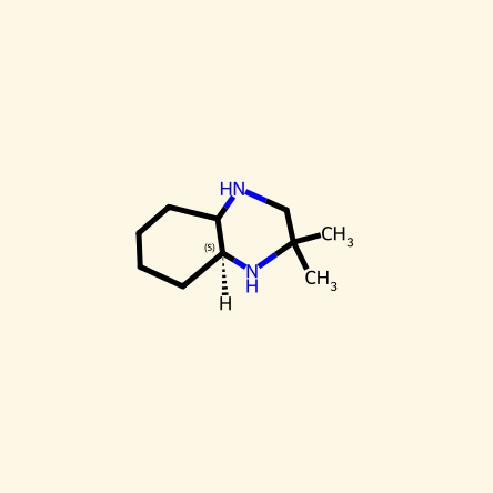 CC1(C)CNC2CCCC[C@@H]2N1